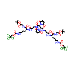 CC(C)(C)OC(=O)CNC(=O)[C@H](CCCCNC(=O)OCC(Cl)(Cl)Cl)NC(=O)CCNC(=O)[C@H]([C@@H](C(=O)NCCC(=O)N[C@@H](CCCCNC(=O)OCC(Cl)(Cl)Cl)C(=O)NCC(=O)OC(C)(C)C)N1C(=O)C=CC1=O)N1C(=O)C=CC1=O